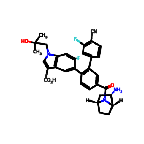 CC(C)(O)Cn1cc(C(=O)O)c2cc(-c3ccc(C(=O)N4[C@@H]5CC[C@H]4[C@@H](N)C5)cc3-c3ccc(C#N)c(F)c3)c(F)cc21